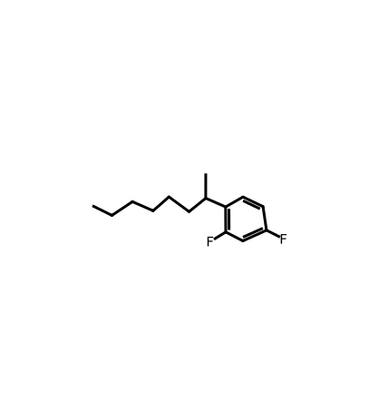 CCCCCCC(C)c1ccc(F)cc1F